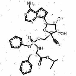 CC(C)OC(=O)[C@H](Cc1ccccc1)NP(=O)(OC[C@@]1(C#N)O[C@@H](c2ccc3c(N)ncnn23)[C@H](O)[C@@H]1O)Oc1ccccc1